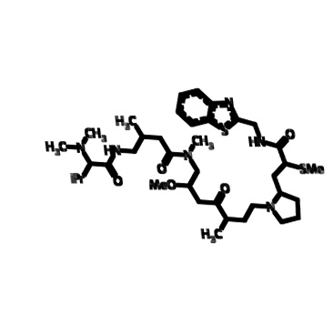 COC(CC(=O)C(C)CCN1CCCC1CC(SC)C(=O)NCc1nc2ccccc2s1)CN(C)C(=O)CC(C)CNC(=O)C(C(C)C)N(C)C